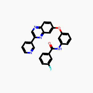 O=C(Nc1cccc(Oc2ccc3ncc(-c4cccnc4)nc3c2)c1)c1cccc(F)c1